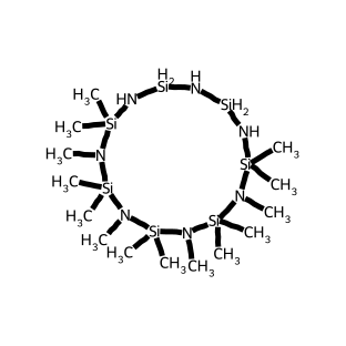 CN1[Si](C)(C)N[SiH2]N[SiH2]N[Si](C)(C)N(C)[Si](C)(C)N(C)[Si](C)(C)N(C)[Si]1(C)C